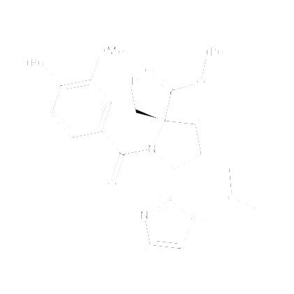 CCOC[C@H]1C[C@@](CC(C)C)(C(=O)OC(C)(C)C)N(C(=O)c2ccc(C(C)(C)C)c(OC)c2)[C@H]1c1nccs1